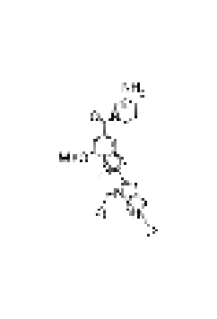 COc1cc(C(=O)N2CCC[C@@H](N)C2)cc2nc(-c3cc4cn(C5CC5)nc4n3CC3CC3)n(C)c12